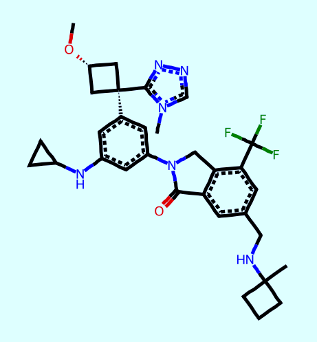 CO[C@H]1C[C@](c2cc(NC3CC3)cc(N3Cc4c(cc(CNC5(C)CCC5)cc4C(F)(F)F)C3=O)c2)(c2nncn2C)C1